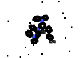 N#Cc1ccc(-c2cccc(-c3cc(-n4c5ccccc5c5ccccc54)cc(-n4c5ccccc5c5c4ccc4c6ccccc6n(-c6ccccc6)c45)c3)c2C#N)cc1